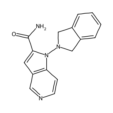 NC(=O)c1cc2cnccc2n1N1Cc2ccccc2C1